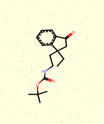 CCC1(CCNC(=O)OC(C)(C)C)CC(=O)c2ccccc21